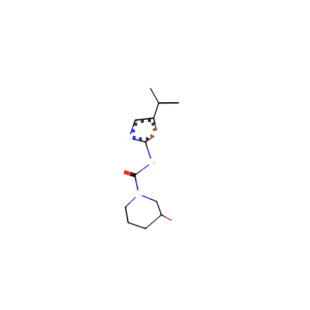 CC(C)c1cnc(NC(=O)N2CCCC(O)C2)s1